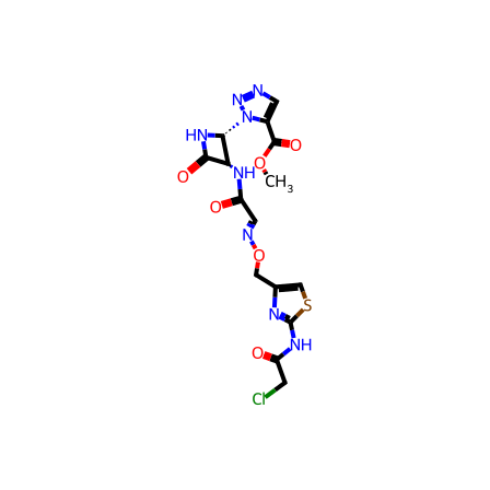 COC(=O)c1cnnn1[C@H]1NC(=O)[C@H]1NC(=O)C=NOCc1csc(NC(=O)CCl)n1